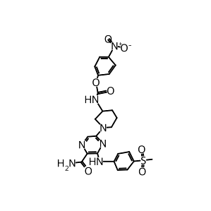 CS(=O)(=O)c1ccc(Nc2nc(N3CCCC(NC(=O)Oc4ccc([N+](=O)[O-])cc4)C3)cnc2C(N)=O)cc1